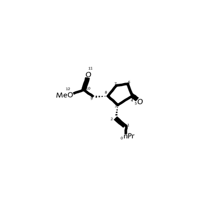 CCCC=C[C@H]1C(=O)CC[C@H]1CC(=O)OC